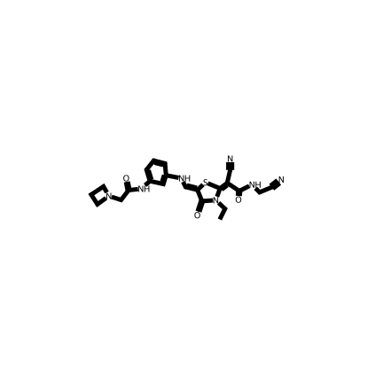 CCn1c(=C(C#N)C(=O)NCC#N)sc(=CNc2cccc(NC(=O)CN3CCC3)c2)c1=O